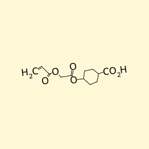 C=CC(=O)OCC(=O)OC1CCC(C(=O)O)CC1